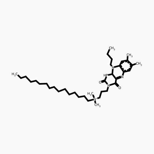 CCCCCCCCCCCCCCCC[N+](C)(C)CCCN1C(=O)PC2C(=Nc3cc(C)c(C)cc3N2CCCC)C1=O